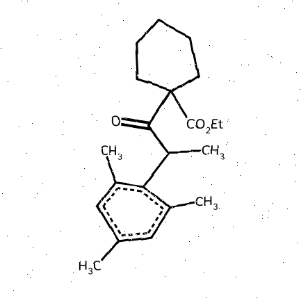 CCOC(=O)C1(C(=O)C(C)c2c(C)cc(C)cc2C)CCCCC1